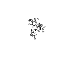 COc1cc(C(CNc2cnc(C)s2)P2(=O)OC[C@H](C)N2C)cc(C)c1O